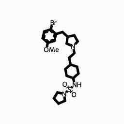 COc1ccc(Br)c(CC2CCN(CCC3CCC(NS(=O)(=O)N4CCCC4)CC3)C2)c1